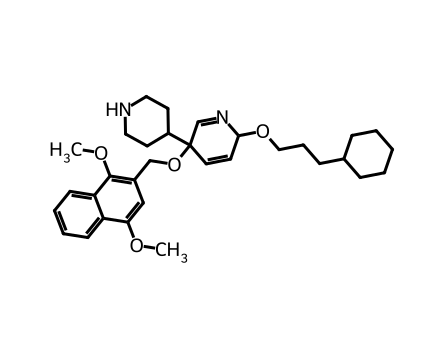 COc1cc(COC2(C3CCNCC3)C=CC(OCCCC3CCCCC3)N=C2)c(OC)c2ccccc12